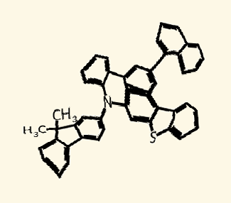 CC1(C)c2ccccc2-c2ccc(N(c3ccc4c(c3)sc3ccccc34)c3ccccc3-c3cccc(-c4cccc5ccccc45)c3)cc21